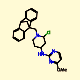 COc1ccnc(NC2CCN(CC34CC(c5ccccc53)c3ccccc34)C(Cl)C2)n1